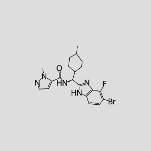 CC1CCC([C@H](NC(=O)c2ccnn2C)c2nc3c(F)c(Br)ccc3[nH]2)CC1